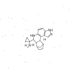 NC1(C2Nc3ccc4[nH]ncc4c3[C@H]3C4CCC(C4)[C@@H]23)CC1